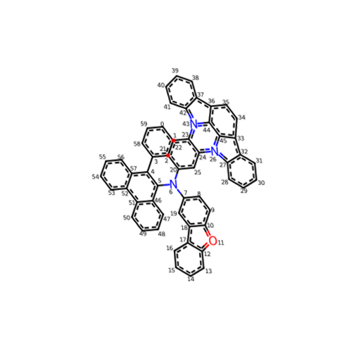 c1ccc(-c2c(N(c3ccc4oc5ccccc5c4c3)c3ccc4c(c3)n3c5ccccc5c5ccc6c7ccccc7n4c6c53)c3ccccc3c3ccccc23)cc1